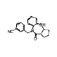 N#Cc1cccc(CN2C(=O)C3CCCC3Nc3ccccc32)c1